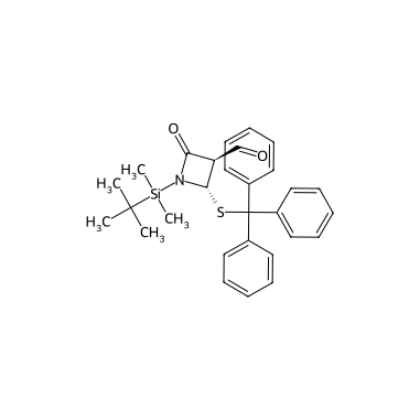 CC(C)(C)[Si](C)(C)N1C(=O)[C@@H](C=O)[C@@H]1SC(c1ccccc1)(c1ccccc1)c1ccccc1